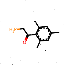 Cc1cc(C)c(C(=O)[CH]P)c(C)c1